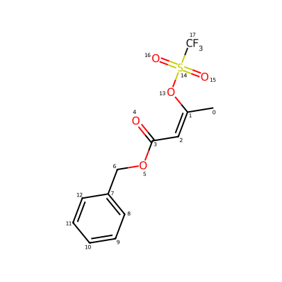 C/C(=C/C(=O)OCc1ccccc1)OS(=O)(=O)C(F)(F)F